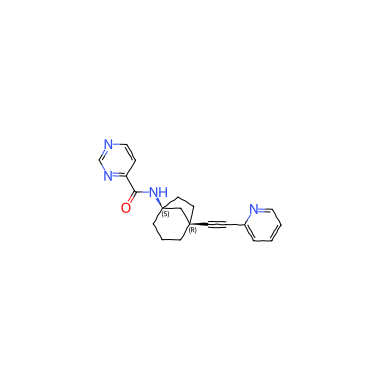 O=C(N[C@@]12CCC[C@@](C#Cc3ccccn3)(CC1)C2)c1ccncn1